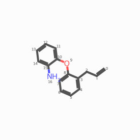 C=CCc1ccccc1Oc1ccccc1N